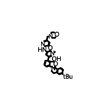 Cn1cc(-c2cccc(N3CCc4cc(C(C)(C)C)ccc4C3=O)c2CO)cc(Nc2ccc(CN3CCOCC3)cn2)c1=O